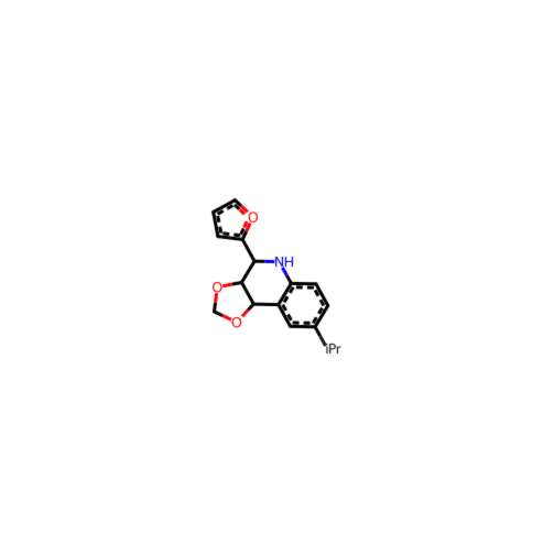 CC(C)c1ccc2c(c1)C1OCOC1C(c1ccco1)N2